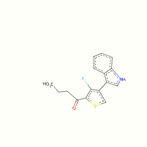 O=C(O)CCC(=O)c1scc(-c2c[nH]c3ccccc23)c1F